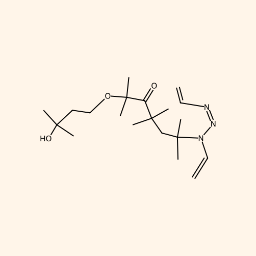 C=C/N=N\N(C=C)C(C)(C)CC(C)(C)C(=O)C(C)(C)OCCC(C)(C)O